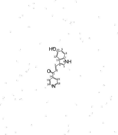 O=C(C=Cc1c[nH]c2ccc(O)cc12)c1ccncc1